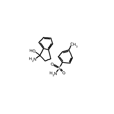 Cc1ccc(S(N)(=O)=O)cc1.NC1(O)CCc2ccccc21